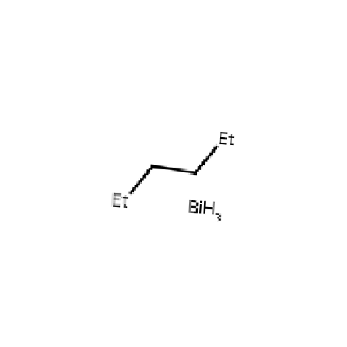 CCCCCC.[BiH3]